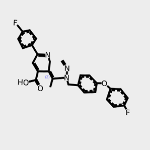 C=NN(Cc1ccc(Oc2ccc(F)cc2)cc1)/C(C)=C1\CN=C(c2ccc(F)cc2)C=C1C(=O)O